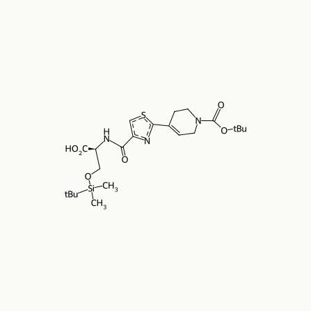 CC(C)(C)OC(=O)N1CC=C(c2nc(C(=O)N[C@@H](CO[Si](C)(C)C(C)(C)C)C(=O)O)cs2)CC1